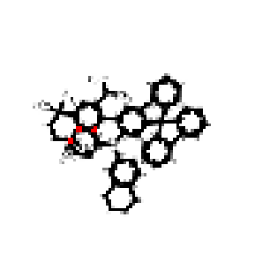 CC(C)c1cc2c(cc1-c1cc3c(cc1N(c1ccccc1)c1ccc4c(c1)CCCC4)C1(c4ccccc4-c4ccccc41)c1ccccc1-3)C(C)(C)CCC2(C)C